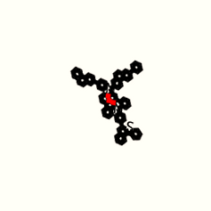 c1ccc(-c2ccc3c(ccc4cc(N(c5ccc(-c6ccc7c(ccc8ccccc87)c6)cc5)c5cccc(-c6ccccc6N(c6ccc(-c7cc8ccccc8c8c7sc7ccccc78)cc6)c6cc7ccccc7c7ccccc67)c5)ccc43)c2)cc1